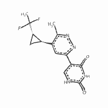 Cc1nnc(-c2c[nH]c(=O)[nH]c2=O)cc1[C@H]1C[C@@H]1C(C)(F)F